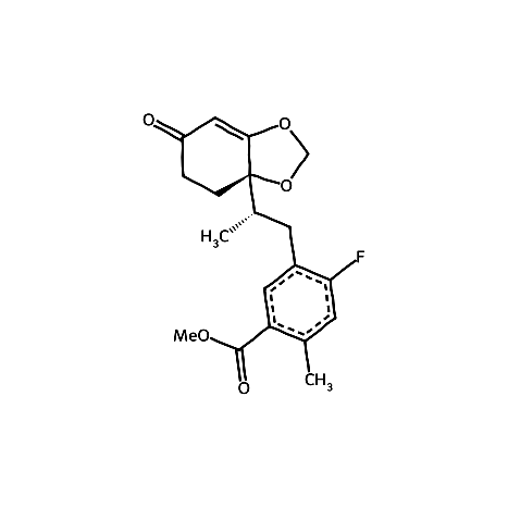 COC(=O)c1cc(C[C@H](C)[C@]23CCC(=O)C=C2OCO3)c(F)cc1C